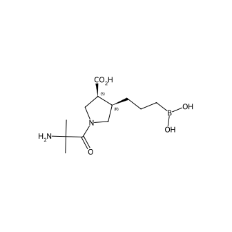 CC(C)(N)C(=O)N1C[C@H](CCCB(O)O)[C@H](C(=O)O)C1